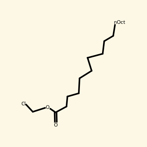 CCCCCCCCCCCCCCCCCC(=O)OCCl